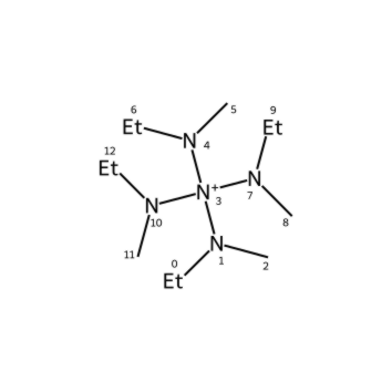 CCN(C)[N+](N(C)CC)(N(C)CC)N(C)CC